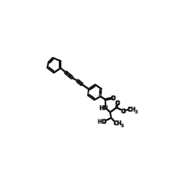 COC(=O)C(NC(=O)c1ccc(C#CC#Cc2ccccc2)cc1)C(C)O